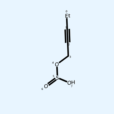 CCC#CCOS(=O)O